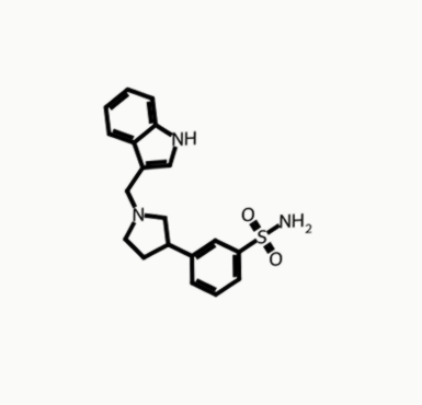 NS(=O)(=O)c1cccc(C2CCN(Cc3c[nH]c4ccccc34)C2)c1